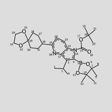 CC(C)c1c(B2OC(C)(C)C(C)(C)O2)n(C(=O)OC(C)(C)C)c2ccc(C3CCC4(CC3)OCCO4)nc12